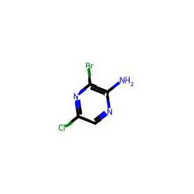 Nc1ncc(Cl)nc1Br